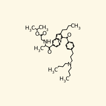 CCCCc1cc2cc(C(=O)C(C)NCC(=O)OC(C)C)ccn2c1C(=O)c1ccc(CCCN(CCCC)CCCC)cc1